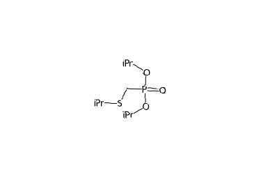 CC(C)OP(=O)(CSC(C)C)OC(C)C